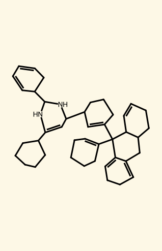 C1=CCC(C2NC(C3CCCCC3)=CC(C3C=C(C4(C5=CCCCC5)C5=CCCC=C5CC5CCC=CC54)CCC3)N2)C=C1